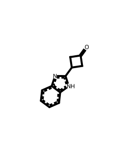 O=C1CC(c2nc3ccccc3[nH]2)C1